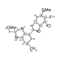 COCc1cnc2c(-c3cc4cc(OC)c(F)c(Cl)c4o3)cc(C)cc2n1